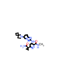 CNC(=O)c1nnc(C2(C(N)=O)CC2)cc1Nc1nc2ccc(N3CCC4(CCC4)C3)cn2n1